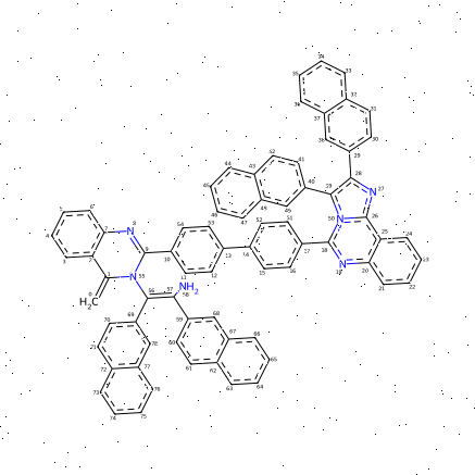 C=C1c2ccccc2N=C(c2ccc(-c3ccc(-c4nc5ccccc5c5nc(-c6ccc7ccccc7c6)c(-c6ccc7ccccc7c6)n45)cc3)cc2)N1/C(=C(\N)c1ccc2ccccc2c1)c1ccc2ccccc2c1